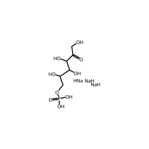 O=C(CO)C(O)C(O)C(O)COP(=O)(O)O.[NaH].[NaH].[NaH]